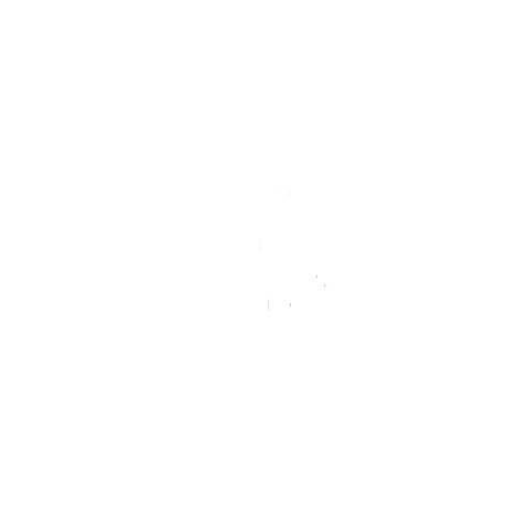 Cn1cccc1C(=O)OCc1ccccc1